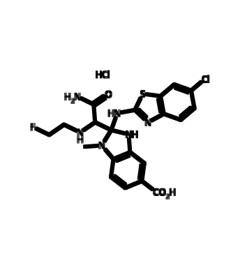 CN1c2ccc(C(=O)O)cc2NC1(Nc1nc2ccc(Cl)cc2s1)C(NCCF)C(N)=O.Cl